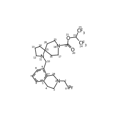 CC(C)CN1CCc2cccc(CN3CCCC34CCN(C(=O)OC(C(F)(F)F)C(F)(F)F)CC4)c2C1